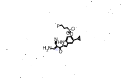 N#C/C(=C\N)C(=O)c1cc2cc(C3CC3)c(OS(=O)(=O)CCCF)cc2[nH]1